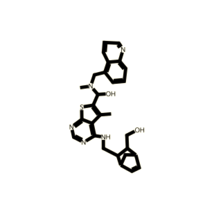 Cc1c(C(O)N(C)Cc2cccc3ncccc23)sc2ncnc(NCC3C4C=CC(C4)C3CO)c12